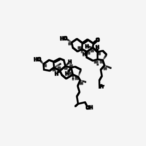 CC(C)CCC[C@@H](C)[C@H]1CC[C@H]2[C@@H]3C(=O)C=C4C[C@@H](O)CC[C@]4(C)[C@H]3CC[C@]12C.CC(CO)CCC[C@@H](C)[C@H]1CC[C@H]2[C@@H]3CC=C4C[C@@H](O)CC[C@]4(C)[C@H]3CC[C@]12C